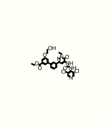 CCOC(=O)c1cc(OCCO)cc(-c2cccc(-c3cc(NC(=O)Nc4c(Cl)cncc4Cl)c(=O)n(CC)n3)c2)c1